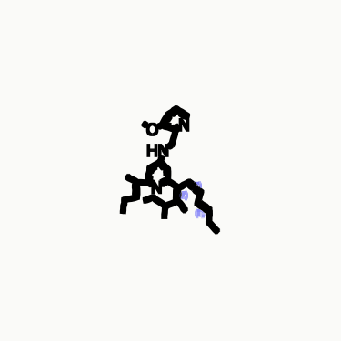 CCC=C(C)c1cc(NCc2ncccc2OC)cc(C(/C=C\C=C\CC)=C(/C)C(C)CC)n1